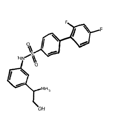 NC(CO)c1cccc(NS(=O)(=O)c2ccc(-c3ccc(F)cc3F)cc2)c1